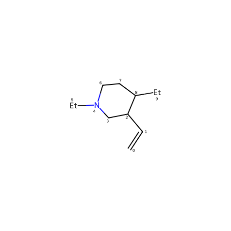 C=CC1CN(CC)CCC1CC